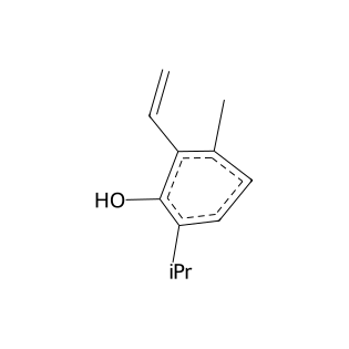 C=Cc1c(C)ccc(C(C)C)c1O